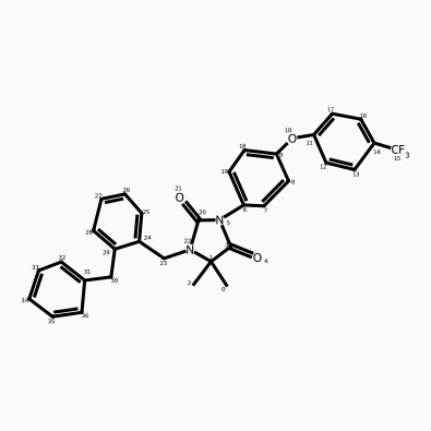 CC1(C)C(=O)N(c2ccc(Oc3ccc(C(F)(F)F)cc3)cc2)C(=O)N1Cc1ccccc1Cc1ccccc1